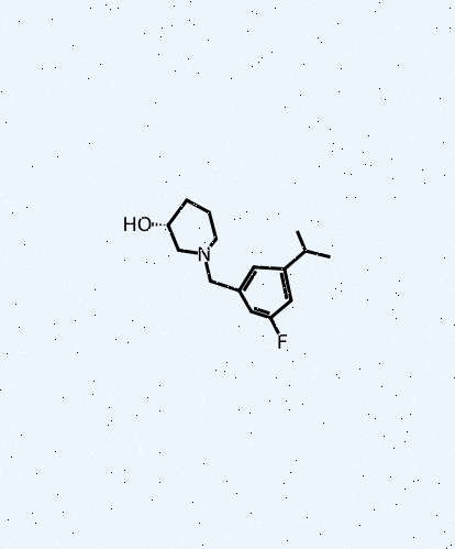 CC(C)c1cc(F)cc(CN2CCC[C@@H](O)C2)c1